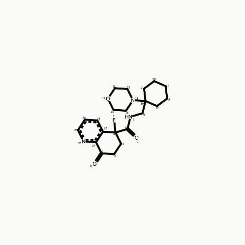 O=C1CCC(F)(C(=O)NCC2(N3CCOCC3)CCCCC2)c2cccnc21